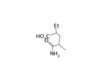 CCC(CC(C)C(N)=O)C(=O)O